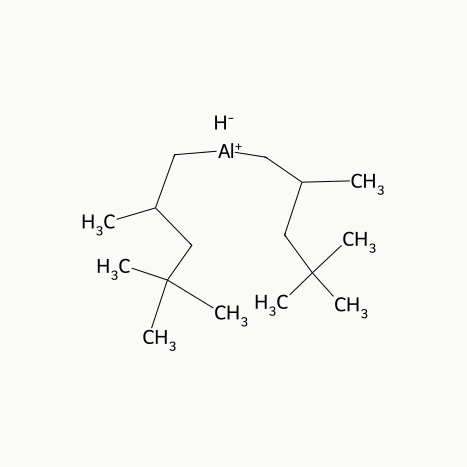 CC([CH2][Al+][CH2]C(C)CC(C)(C)C)CC(C)(C)C.[H-]